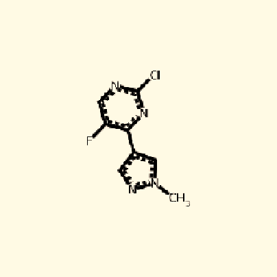 Cn1cc(-c2nc(Cl)ncc2F)cn1